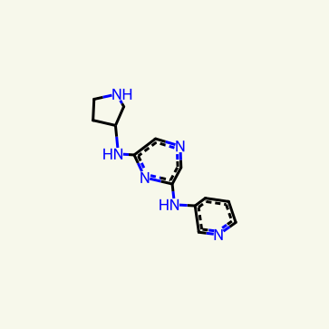 c1cncc(Nc2cncc(NC3CCNC3)n2)c1